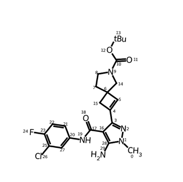 Cn1nc(C2=CC3(CCN(C(=O)OC(C)(C)C)C3)C2)c(C(=O)Nc2ccc(F)c(Cl)c2)c1N